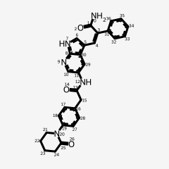 NC(=O)C(=Cc1c[nH]c2ncc(NC(=O)Cc3ccc(N4CCCCC4=O)cc3)cc12)c1ccccc1